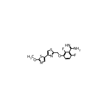 COc1ncc(-c2csc(COc3ccc(F)c(C(=N)N)c3F)n2)s1